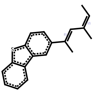 C/C=C(C)\C=C(/C)c1ccc2sc3ccccc3c2c1